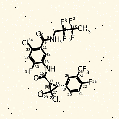 CC(F)(F)C(F)(F)CNC(=O)c1cc(NC(=O)[C@H]2[C@H](c3ccc(F)c(C(F)(F)F)c3)C2(Cl)Cl)c(F)cc1Cl